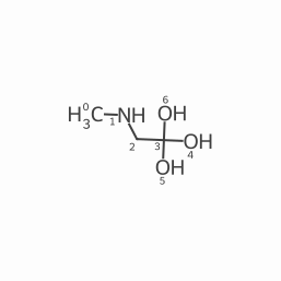 CNCC(O)(O)O